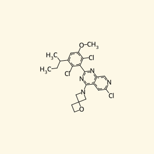 CCC(C)c1cc(OC)c(Cl)c(-c2nc(N3CC4(CCO4)C3)c3cc(Cl)ncc3n2)c1Cl